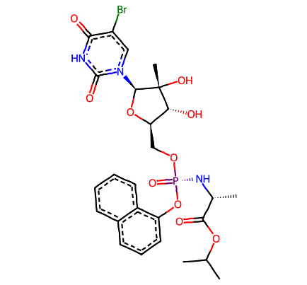 CC(C)OC(=O)[C@@H](C)N[P@](=O)(OC[C@H]1O[C@@H](n2cc(Br)c(=O)[nH]c2=O)[C@](C)(O)[C@@H]1O)Oc1cccc2ccccc12